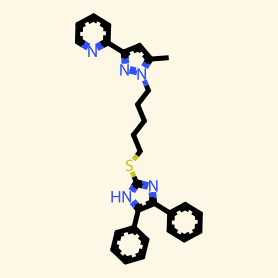 Cc1cc(-c2ccccn2)nn1CCCCCSc1nc(-c2ccccc2)c(-c2ccccc2)[nH]1